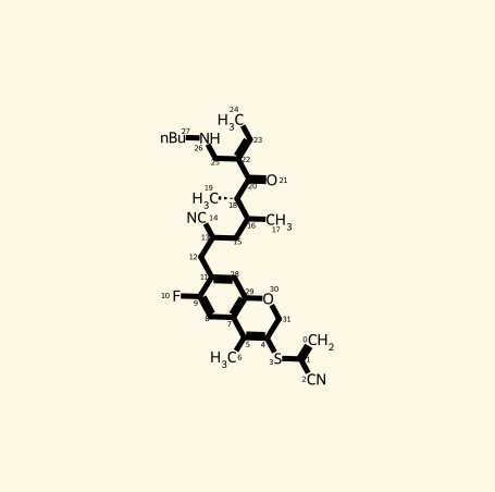 C=C(C#N)SC1=C(C)c2cc(F)c(CC(C#N)CC(C)[C@H](C)C(=O)/C(=C/C)CNCCCC)cc2OC1